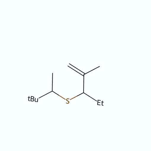 C=C(C)C(CC)SC(C)C(C)(C)C